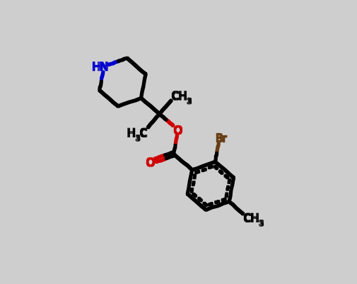 Cc1ccc(C(=O)OC(C)(C)C2CCNCC2)c(Br)c1